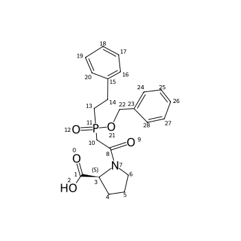 O=C(O)[C@@H]1CCCN1C(=O)CP(=O)(CCc1ccccc1)OCc1ccccc1